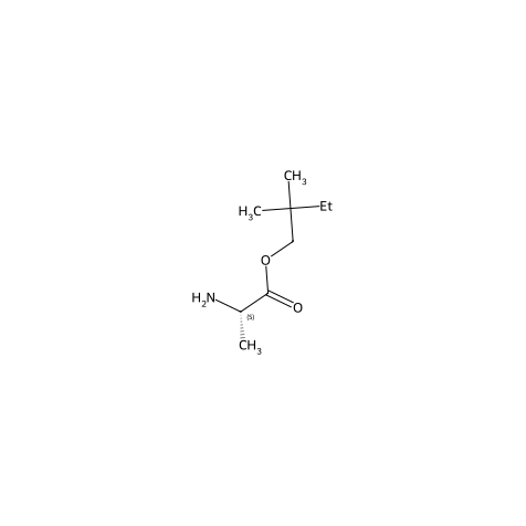 CCC(C)(C)COC(=O)[C@H](C)N